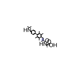 C/C(=C\c1c(C)c(C)c(-c2ccc(NC(C)C)cc2)c(C)c1C)C(=O)N[C@H](C)C(=O)O